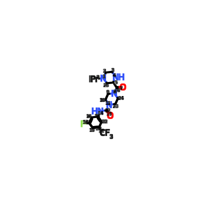 CC(C)N1CCN[C@@H](C(=O)N2CCN(C(=O)Nc3cc(F)cc(C(F)(F)F)c3)CC2)C1